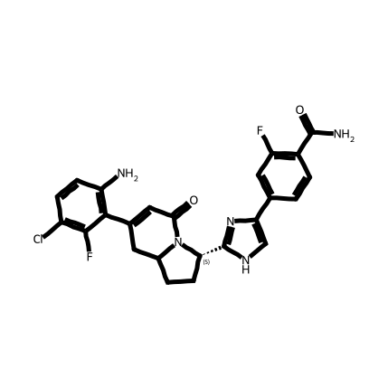 NC(=O)c1ccc(-c2c[nH]c([C@@H]3CCC4CC(c5c(N)ccc(Cl)c5F)=CC(=O)N43)n2)cc1F